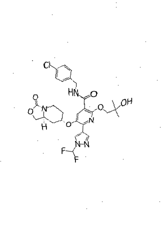 CC(C)(O)COc1nc(-c2cnn(C(F)F)c2)c(O[C@H]2CCN3C(=O)OC[C@@H]3C2)cc1C(=O)NCc1ccc(Cl)cc1